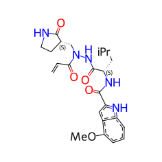 C=CC(=O)N(C[C@@H]1CCNC1=O)NC(=O)[C@H](CC(C)C)NC(=O)c1cc2c(OC)cccc2[nH]1